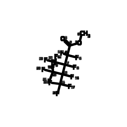 COC(=O)C(F)(F)C(F)(C(F)(F)F)C(F)(C(F)(F)F)C(F)(F)F